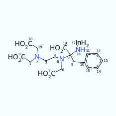 O=C(O)CN(CCN(CC(=O)O)C(Cc1ccccc1)([NH][InH2])C(=O)O)CC(=O)O